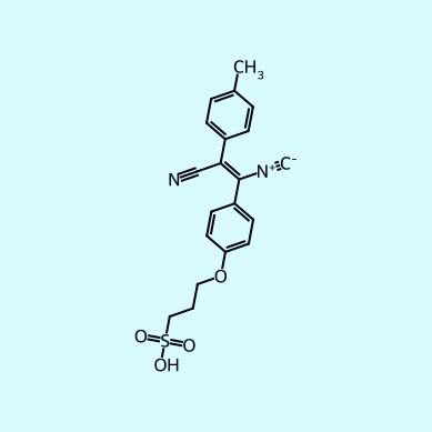 [C-]#[N+]/C(=C(/C#N)c1ccc(C)cc1)c1ccc(OCCCS(=O)(=O)O)cc1